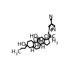 CCC[C@@]1(O)CC[C@@]2(C)[C@H](CC[C@@H]3[C@@H]2[C@@H](O)C[C@]2(C)[C@@H]([C@@H](C)Cn4cc(C#N)cn4)CC[C@@H]32)C1